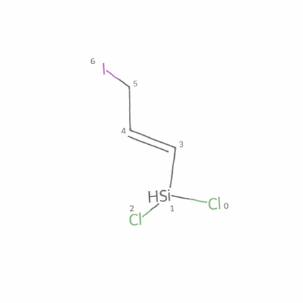 Cl[SiH](Cl)C=CCI